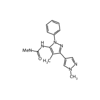 CNC(=O)Nc1c(C)c(-c2cnn(C)c2)nn1-c1ccccc1